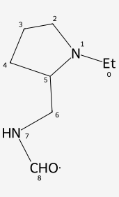 CCN1CCCC1CN[C]=O